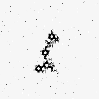 Bc1cnn2c(NCc3ccc(CNC(=O)Nc4ccc(Cl)cc4C(F)(F)F)cc3)cc(-c3ccccc3Cl)nc12